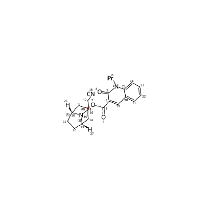 CC(C)n1c(=O)c(C(=O)O[C@H]2C[C@H]3CC[C@@H](C2)N3CCC#N)cc2ccccc21